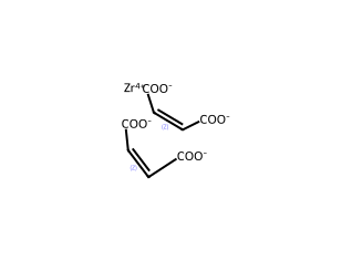 O=C([O-])/C=C\C(=O)[O-].O=C([O-])/C=C\C(=O)[O-].[Zr+4]